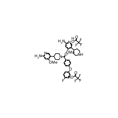 COc1cc(N)ncc1C1CCN(C(=O)c2ccc(Oc3ccc(F)cc3)cc2)CC1.COc1cc(N)ncc1C1CCNCC1.O=C(O)C(F)(F)F.O=C(O)C(F)(F)F